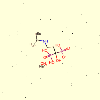 CCCCC(C)NCCC(O)(P(=O)([O-])O)P(=O)(O)O.O.[Na+]